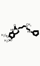 COc1cc2c(cc1OC)NC(=O)N(CCCN(C)CCNc1ccccc1)CC2